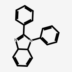 C1=CC2N=C(c3ccccc3)N(c3ccccc3)C2C=C1